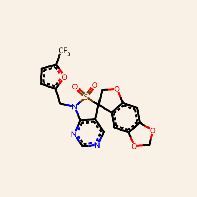 O=S1(=O)N(Cc2ccc(C(F)(F)F)o2)c2ncncc2C12COc1cc3c(cc12)OCO3